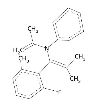 C=C(C)N(C(=C(C)C)c1c(C)cccc1F)c1ccccc1